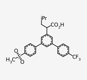 CC(C)CC(C(=O)O)c1cc(-c2ccc(C(F)(F)F)cc2)cc(-c2ccc(S(C)(=O)=O)cc2)c1